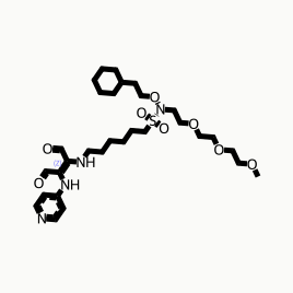 COCCOCCOCCN(OCCC1CCCCC1)S(=O)(=O)CCCCCCN/C(C=O)=C(/C=O)Nc1ccncc1